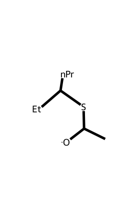 CCCC(CC)SC(C)[O]